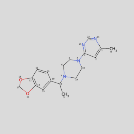 Cc1cc(N2CCN(C(C)c3ccc4c(c3)OCO4)CC2)ncn1